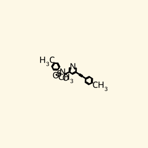 Cc1ccc(C#Cc2cncc(C(=O)N=S(C)(=O)c3ccc(C)cc3)c2)cc1